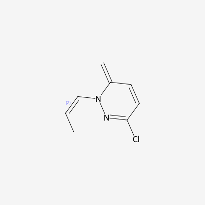 C=C1C=CC(Cl)=NN1/C=C\C